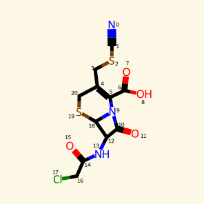 N#CSCC1=C(C(=O)O)N2C(=O)C(NC(=O)CCl)C2SC1